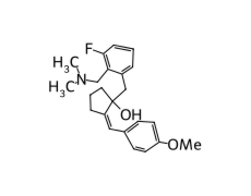 COc1ccc(C=C2CCCC2(O)Cc2cccc(F)c2CN(C)C)cc1